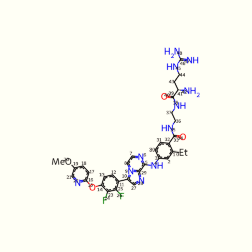 CCc1cc(Nc2nccn3c(-c4ccc(Oc5ccc(OC)cn5)c(F)c4F)cnc23)ccc1C(=O)NCCNC(=O)[C@H](N)CCNC(=N)N